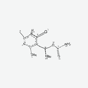 CSc1nc(C)[nH]c(=O)c1C(OC(N)=O)C(C)(C)C